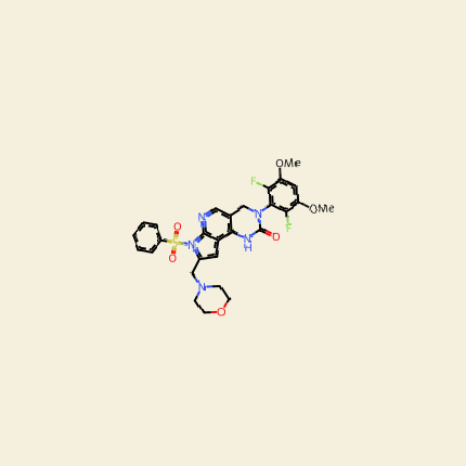 COc1cc(OC)c(F)c(N2Cc3cnc4c(cc(CN5CCOCC5)n4S(=O)(=O)c4ccccc4)c3NC2=O)c1F